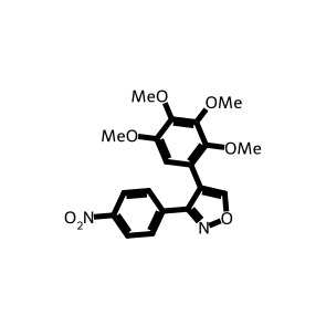 COc1cc(-c2conc2-c2ccc([N+](=O)[O-])cc2)c(OC)c(OC)c1OC